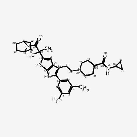 Cc1cc(C)cc(-c2[nH]c3sc(C(C)(C)C(=O)N4C5CCC4CC5)cc3c2CCN2CCC(C(=O)NC3CC3)CC2)c1